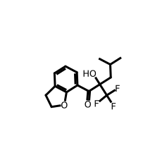 CC(C)CC(O)(C(=O)c1cccc2c1OCC2)C(F)(F)F